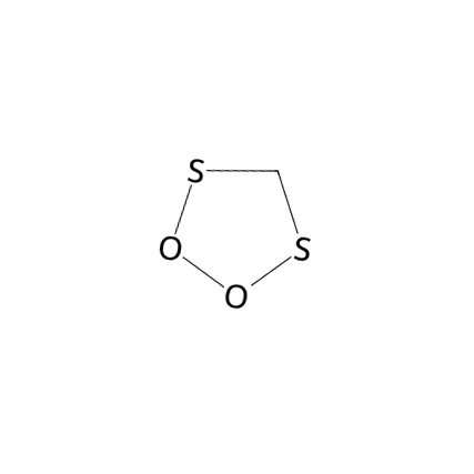 C1SOOS1